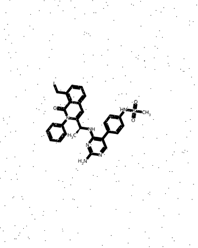 C[C@H](Nc1nc(N)ncc1-c1ccc(NS(C)(=O)=O)cc1)c1cc2cccc(CI)c2c(=O)n1-c1ccccc1